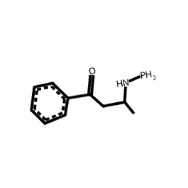 CC(CC(=O)c1ccccc1)NP